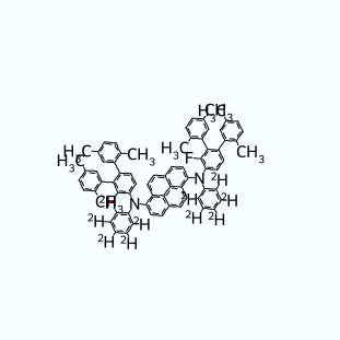 [2H]c1c([2H])c([2H])c(N(c2ccc(-c3cc(C)ccc3C)c(-c3cc(C)ccc3C)c2F)c2ccc3ccc4c(N(c5ccc(-c6cc(C)ccc6C)c(-c6cc(C)ccc6C)c5F)c5c([2H])c([2H])c([2H])c([2H])c5[2H])ccc5ccc2c3c54)c([2H])c1[2H]